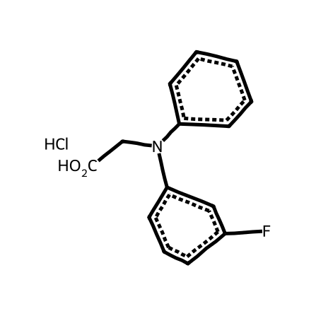 Cl.O=C(O)CN(c1ccccc1)c1cccc(F)c1